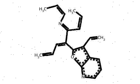 C=C/C=C(C(/C=C\C)=N/C=C\C)\c1oc2ncccc2c1C=C